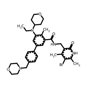 CCN(c1cc(-c2ccc(CN3CCOCC3)cc2)cc(C(=O)NCc2c(C)c(Br)c(C)[nH]c2=O)c1C)C1CCOCC1